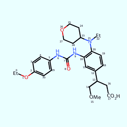 CCOc1ccc(NC(=O)Nc2cc(C(COC)CC(=O)O)ccc2N(CC)C2CCOCC2)cc1